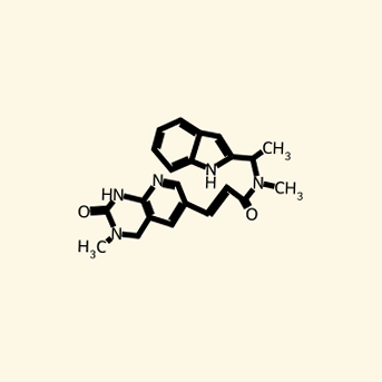 CC(c1cc2ccccc2[nH]1)N(C)C(=O)/C=C/c1cnc2c(c1)CN(C)C(=O)N2